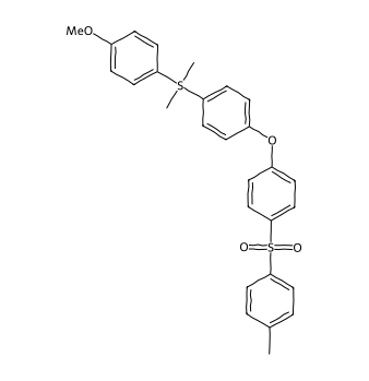 COc1ccc(S(C)(C)c2ccc(Oc3ccc(S(=O)(=O)c4ccc(C)cc4)cc3)cc2)cc1